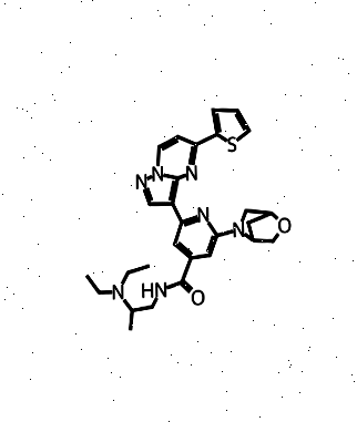 CCN(CC)C(C)CNC(=O)c1cc(-c2cnn3ccc(-c4cccs4)nc23)nc(N2CC3CC2CO3)c1